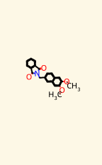 COc1cc2ccc(CN3C(=O)c4ccccc4C3=O)cc2cc1OC